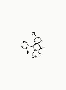 O=c1[nH]c2ccc(Cl)cc2c(-c2ccccc2F)c1CO